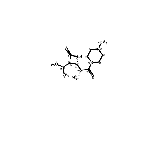 CC(=O)O[C@H](C)[C@H]1C(=O)N[C@@H]1[C@@H](C)C(=O)N1CCN(C)CC1